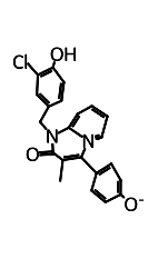 Cc1c(-c2ccc([O-])cc2)[n+]2ccccc2n(Cc2ccc(O)c(Cl)c2)c1=O